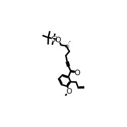 C=CCc1c(OC)cccc1C(=O)C#CCC[C@@H](C)CO[Si](C)(C)C(C)(C)C